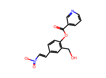 O=C(Oc1ccc(/C=C/[N+](=O)[O-])cc1CO)c1cccnc1